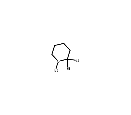 CC[O+]1CCCCC1(CC)CC